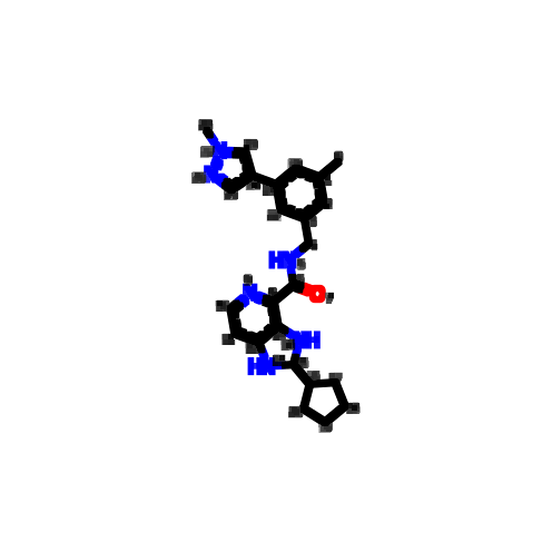 Cc1cc(CNC(=O)c2nccc3c2NC(C2CCCC2)N3)cc(-c2cnn(C)c2)c1